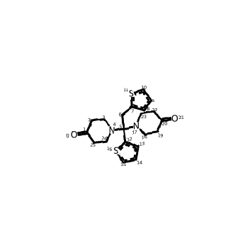 O=C1CCN(C(Cc2cccs2)(c2cccs2)N2CCC(=O)CC2)CC1